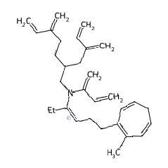 C=CC(=C)CCC(CC(=C)C=C)CN(C(=C)C=C)/C(=C\CCC1=C(C)C=CCC=C1)CC